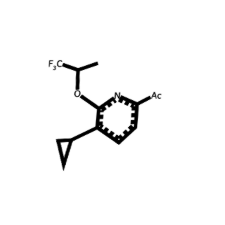 CC(=O)c1ccc(C2CC2)c(OC(C)C(F)(F)F)n1